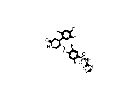 O=C1CC(c2cc(F)c(F)cc2F)[C@H](COc2cc(F)c(S(=O)(=O)Nc3ncns3)cc2F)CN1